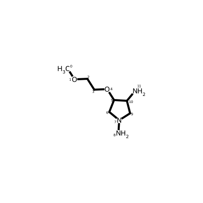 COCCOC1CN(N)CC1N